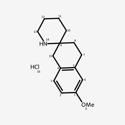 COc1ccc2c(c1)CCC1(CCCCN1)C2.Cl